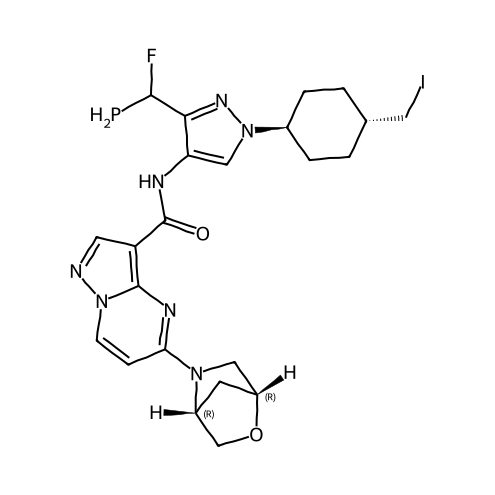 O=C(Nc1cn([C@H]2CC[C@H](CI)CC2)nc1C(F)P)c1cnn2ccc(N3C[C@H]4C[C@@H]3CO4)nc12